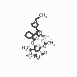 CCCN1CCC(c2nn(C)c3nc(O[C@H]4O[C@@H](OC(C)=O)[C@@H](C(C)=O)[C@@H](C(C)=O)[C@H]4C(C)=O)c4c(c23)CCCC4)C1